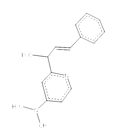 CC(C=Cc1ccccc1)c1cc(N(C)C)ccn1